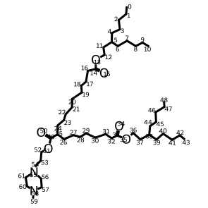 CCCCCC(CCCCC)CCOC(=O)CCCCCCCCCC(CCCCCCCC(=O)OCCC(CCCCC)CCCCC)C(=O)OCCCN1CCN(C)CC1